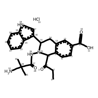 CCC(=O)C1c2ccc(C(=O)O)cc2CC(c2c[nH]c3ccccc23)N1NC(=O)C(C)(C)N.Cl